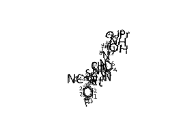 CCc1nc2ccc(N3CCC(O)(CNC(=O)C(C)C)C3)nn2c1N(C)c1nc(-c2ccc(F)cc2)c(C#N)s1